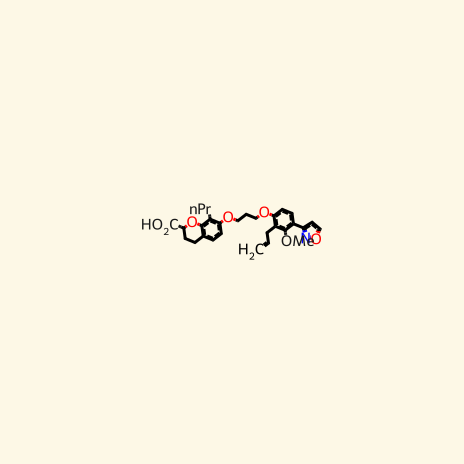 C=CCc1c(OCCCOc2ccc3c(c2CCC)OC(C(=O)O)CC3)ccc(-c2ccon2)c1OC